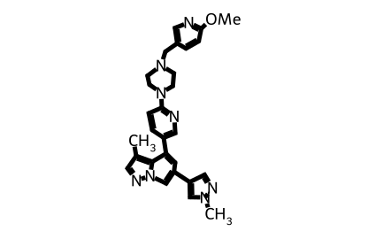 COc1ccc(CN2CCN(c3ccc(-c4cc(-c5cnn(C)c5)cn5ncc(C)c45)cn3)CC2)cn1